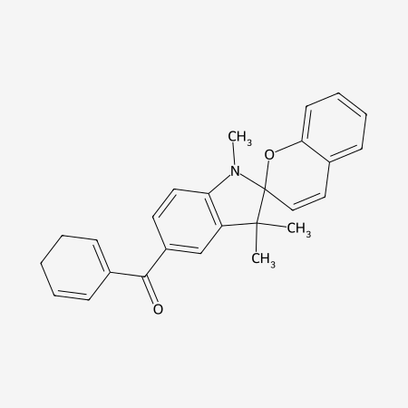 CN1c2ccc(C(=O)C3=CCCC=C3)cc2C(C)(C)C12C=Cc1ccccc1O2